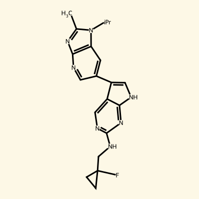 Cc1nc2ncc(-c3c[nH]c4nc(NCC5(F)CC5)ncc34)cc2n1C(C)C